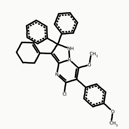 COC1=C(c2ccc(OC)cc2)C(Cl)=NC2=C(C3=CCCCC3)C(c3ccccc3)(c3ccccc3)NN21